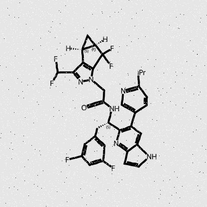 CC(C)c1ccc(-c2cc3[nH]ccc3nc2[C@H](Cc2cc(F)cc(F)c2)NC(=O)Cn2nc(C(F)F)c3c2C(F)(F)[C@@H]2C[C@H]32)cn1